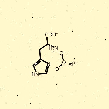 N[C@@H](Cc1c[nH]cn1)C(=O)[O-].[Al+3].[O-]O[O-]